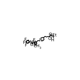 CCNC(=O)C(=O)CCCC1CCN(CCc2cn(C)c(C(=O)Nc3cc(F)c(F)c(F)c3)c2F)CC1